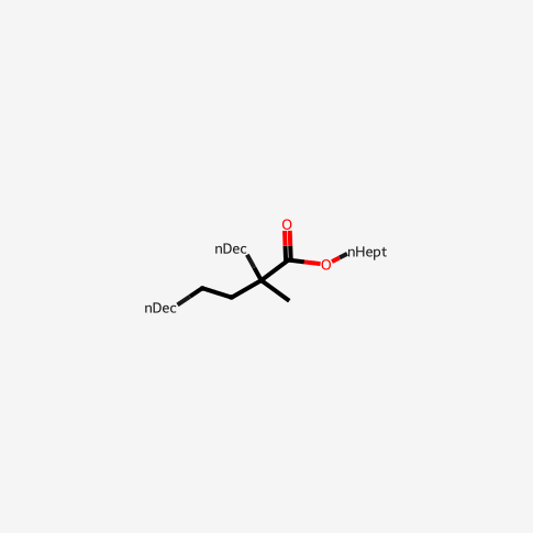 CCCCCCCCCCCCC(C)(CCCCCCCCCC)C(=O)OCCCCCCC